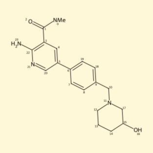 CNC(=O)c1cc(-c2ccc(CN3CCCC(O)C3)cc2)cnc1N